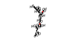 CNCCCCC(NC(=O)CNC(=O)[C@@H](CCC(=O)O)NC(=O)CNC(=O)CN(CCN(CCN1CC(=O)OC(=O)C1)CC(=O)O)CC(=O)O)C(=O)O